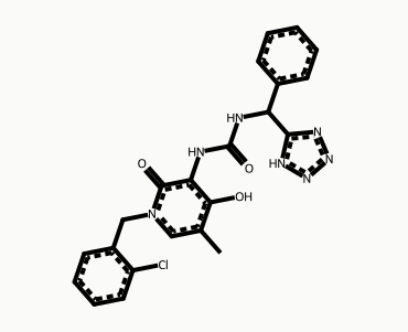 Cc1cn(Cc2ccccc2Cl)c(=O)c(NC(=O)NC(c2ccccc2)c2nnn[nH]2)c1O